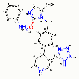 CCCc1cn(-c2ccccc2N)c(=O)n1Cc1ccc(-c2ccncc2-c2nnn[nH]2)cc1